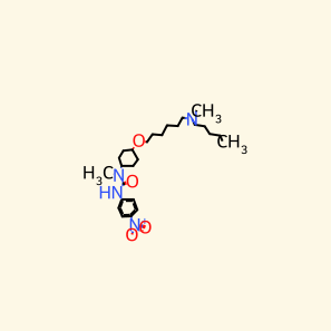 CCCCCN(C)CCCCCCO[C@H]1CC[C@H](N(C)C(=O)Nc2ccc([N+](=O)[O-])cc2)CC1